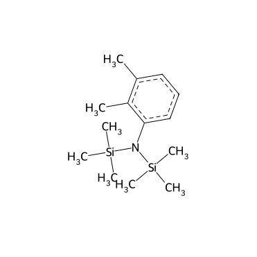 Cc1cccc(N([Si](C)(C)C)[Si](C)(C)C)c1C